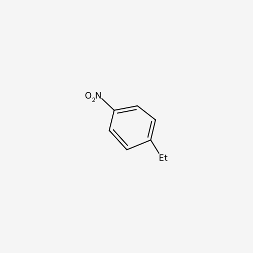 [CH]Cc1ccc([N+](=O)[O-])cc1